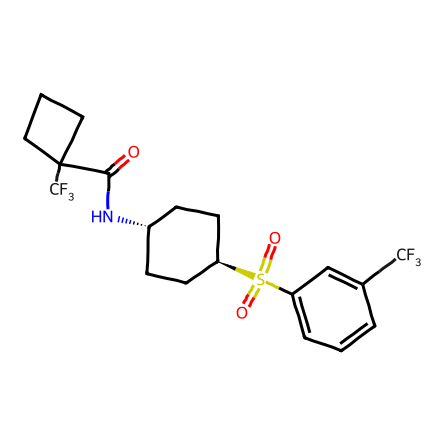 O=C(N[C@H]1CC[C@H](S(=O)(=O)c2cccc(C(F)(F)F)c2)CC1)C1(C(F)(F)F)CCC1